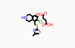 Cc1csc(SCc2c(Cl)ccc3c2CCNCC3)n1.O=C(O)CCC(=O)O